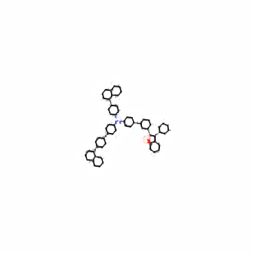 c1ccc(-c2c(-c3cccc(-c4ccc(N(c5ccc(-c6ccc(-c7cccc8ccccc78)cc6)cc5)c5ccc(-c6cccc7ccccc67)cc5)cc4)c3)oc3ccccc23)cc1